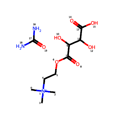 C[N+](C)(C)CCOC(=O)C(O)C(O)C(=O)O.NC(N)=O